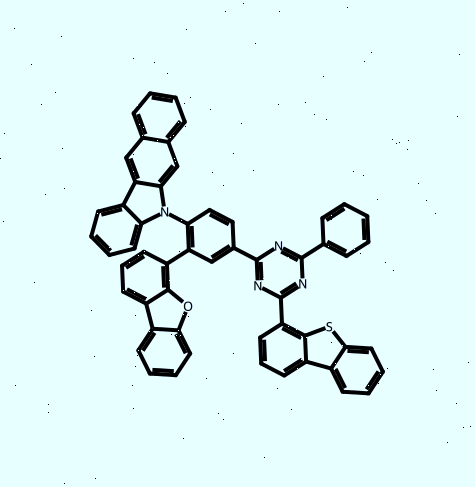 c1ccc(-c2nc(-c3ccc(-n4c5ccccc5c5cc6ccccc6cc54)c(-c4cccc5c4oc4ccccc45)c3)nc(-c3cccc4c3sc3ccccc34)n2)cc1